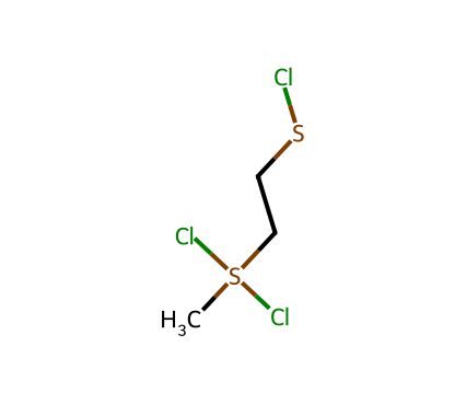 CS(Cl)(Cl)CCSCl